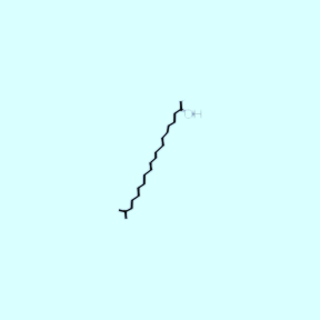 [CH2]C(O)CCCCCCCCCCCCCCCCC(C)C